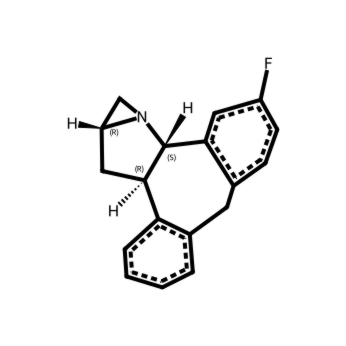 Fc1ccc2c(c1)[C@@H]1[C@H](C[C@@H]3CN31)c1ccccc1C2